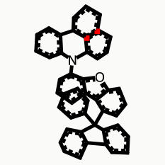 c1ccc(-c2ccccc2N(c2ccccc2)c2cccc3c2oc2cccc(C4(c5ccccc5)c5ccccc5-c5ccccc54)c23)cc1